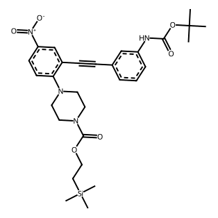 CC(C)(C)OC(=O)Nc1cccc(C#Cc2cc([N+](=O)[O-])ccc2N2CCN(C(=O)OCC[Si](C)(C)C)CC2)c1